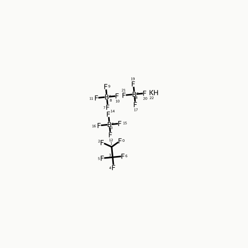 FC(F)C(F)(F)F.F[B-](F)(F)F.F[B-](F)(F)F.F[B-](F)(F)F.[KH]